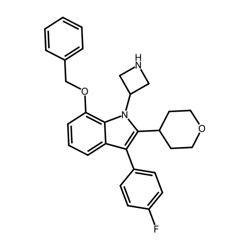 Fc1ccc(-c2c(C3CCOCC3)n(C3CNC3)c3c(OCc4ccccc4)cccc23)cc1